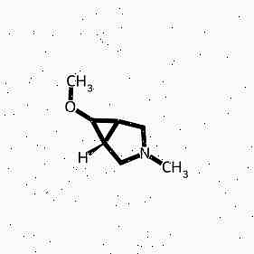 COC1C2CN(C)C[C@@H]21